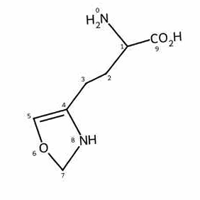 NC(CCC1=COCN1)C(=O)O